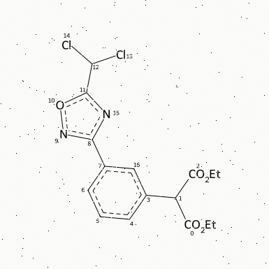 CCOC(=O)C(C(=O)OCC)c1cccc(-c2noc(C(Cl)Cl)n2)c1